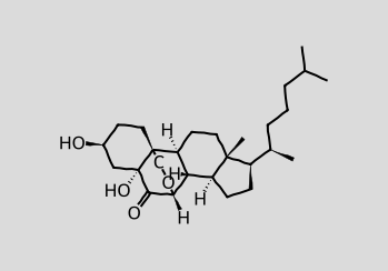 CC(C)CCC[C@@H](C)[C@H]1CC[C@H]2[C@@H]3[C@H]4OC[C@@]5(CC[C@H](O)C[C@]5(O)C4=O)[C@H]3CC[C@]12C